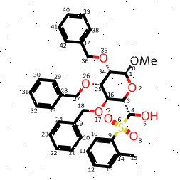 CO[C@H]1O[C@H](C(O)S(=O)(=O)c2ccccc2C)[C@@H](OCc2ccccc2)[C@H](OCc2ccccc2)[C@@H]1OCc1ccccc1